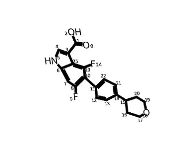 O=C(O)c1c[nH]c2cc(F)c(-c3ccc(C4CCOCC4)cc3)c(F)c12